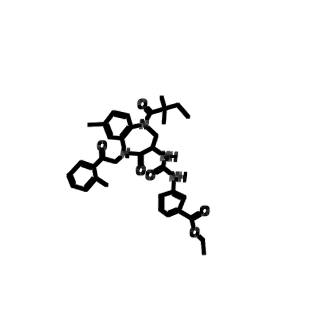 CCOC(=O)c1cccc(NC(=O)NC2CN(C(=O)C(C)(C)CC)c3ccc(C)cc3N(CC(=O)c3ccccc3C)C2=O)c1